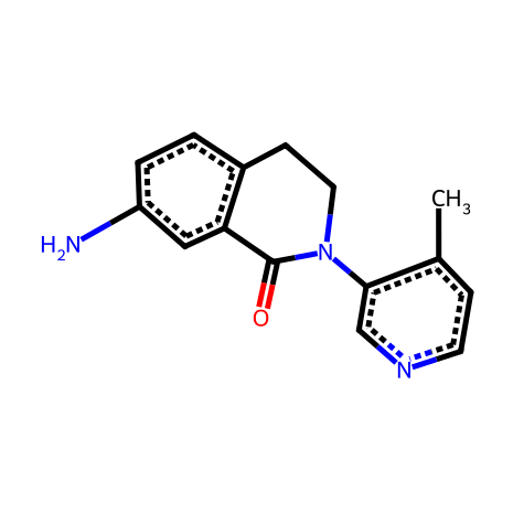 Cc1ccncc1N1CCc2ccc(N)cc2C1=O